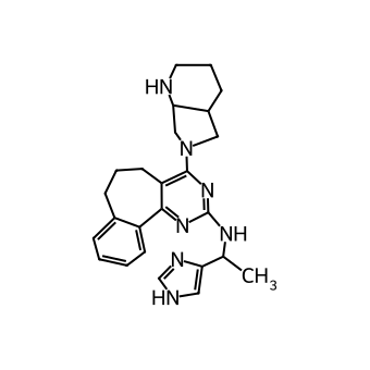 CC(Nc1nc2c(c(N3CC4CCCNC4C3)n1)CCCc1ccccc1-2)c1c[nH]cn1